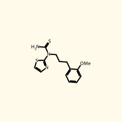 COc1ccccc1CCCN(C(N)=S)c1nccs1